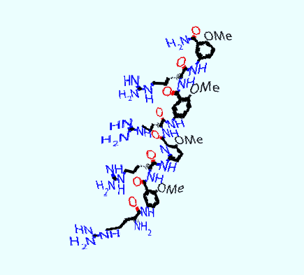 COc1ccc(NC(=O)[C@@H](CCCNC(=N)N)NC(=O)c2cc(NC(=O)[C@@H](CCCNC(=N)N)NC(=O)c3nc(NC(=O)[C@@H](CCCNC(=N)N)NC(=O)c4cc(NC(=O)[C@H](N)CCCNC(=N)N)ccc4OC)ccc3OC)ccc2OC)cc1C(N)=O